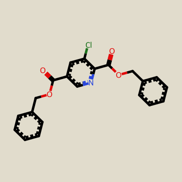 O=C(OCc1ccccc1)c1cnc(C(=O)OCc2ccccc2)c(Cl)c1